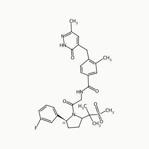 Cc1cc(Cc2ccc(C(=O)NCC(=O)N3C(C(C)(C)S(C)(=O)=O)CC[C@H]3c3cccc(F)c3)cc2C)c(=O)[nH]n1